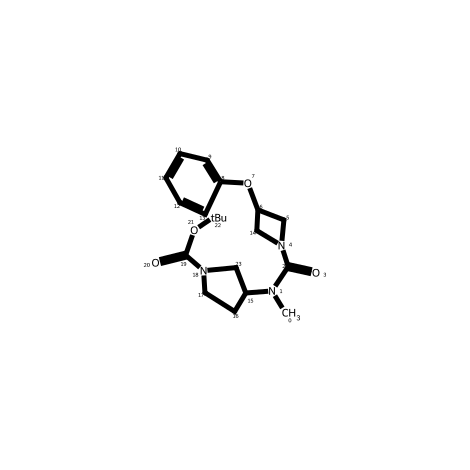 CN(C(=O)N1CC(Oc2ccccc2)C1)C1CCN(C(=O)OC(C)(C)C)C1